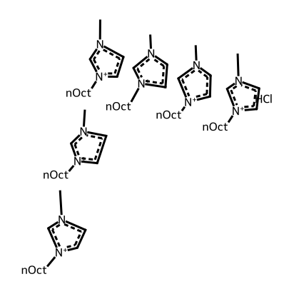 CCCCCCCC[n+]1ccn(C)c1.CCCCCCCC[n+]1ccn(C)c1.CCCCCCCC[n+]1ccn(C)c1.CCCCCCCC[n+]1ccn(C)c1.CCCCCCCC[n+]1ccn(C)c1.CCCCCCCC[n+]1ccn(C)c1.Cl